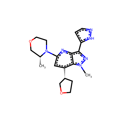 C[C@@H]1COCCN1c1cc([C@@H]2CCOC2)c2c(n1)c(-c1ccn[nH]1)nn2C